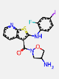 NC1CON(C(=O)c2c(Nc3ccc(I)cc3F)sc3ncccc23)C1